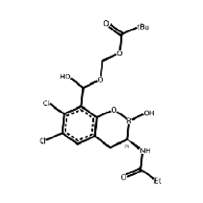 CCC(=O)N[C@H]1Cc2cc(Cl)c(Cl)c(C(O)OCOC(=O)C(C)(C)C)c2OB1O